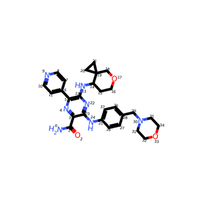 NC(=O)c1nc(-c2ccncc2)c(NC2CCOCC23CC3)nc1Nc1ccc(CN2CCOCC2)cc1